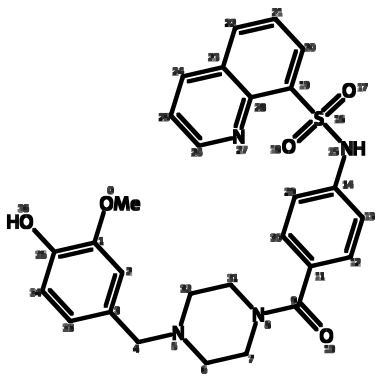 COc1cc(CN2CCN(C(=O)c3ccc(NS(=O)(=O)c4cccc5cccnc45)cc3)CC2)ccc1O